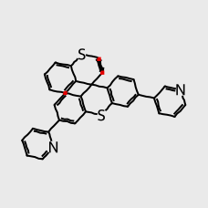 c1ccc(-c2ccc3c(c2)Sc2cc(-c4cccnc4)ccc2C32c3ccccc3Sc3ccccc32)nc1